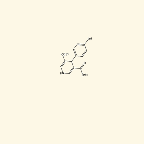 COC(=O)C1=CNC=C(C(=O)O)C1c1ccc(O)cc1